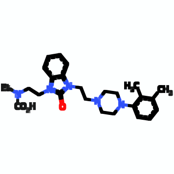 CCN(CCn1c(=O)n(CCN2CCN(c3cccc(C)c3C)CC2)c2ccccc21)C(=O)O